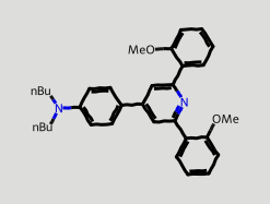 CCCCN(CCCC)c1ccc(-c2cc(-c3ccccc3OC)nc(-c3ccccc3OC)c2)cc1